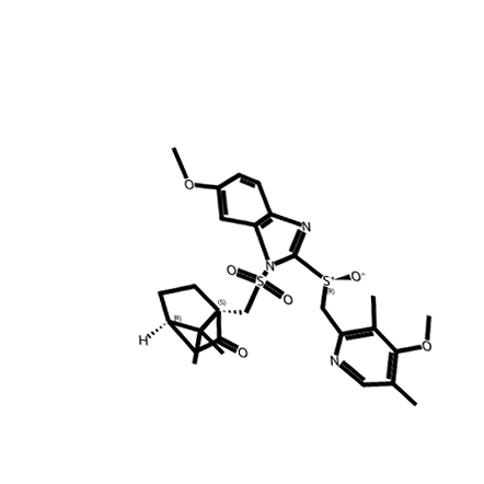 COc1ccc2nc([S@@+]([O-])Cc3ncc(C)c(OC)c3C)n(S(=O)(=O)C[C@]34CC[C@H](CC3=O)C4(C)C)c2c1